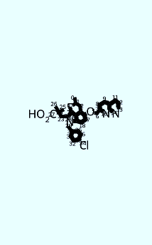 CC1Cc2c(OCc3ccc4cccnc4n3)ccc3c2c(c(CC(C)(C)C(=O)O)n3Cc2ccc(Cl)cc2)S1